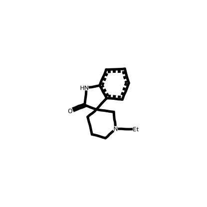 CCN1CCCC2(C1)C(=O)Nc1ccccc12